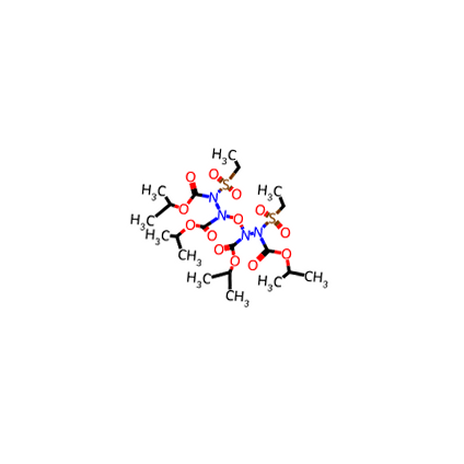 CCS(=O)(=O)N(C(=O)OC(C)C)N(ON(C(=O)OC(C)C)N(C(=O)OC(C)C)S(=O)(=O)CC)C(=O)OC(C)C